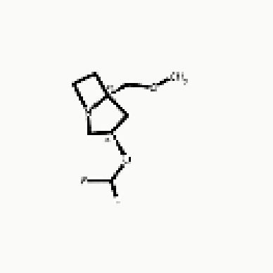 COC[C@]12CCN1C[C@H](OC(F)F)C2